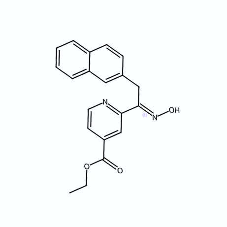 CCOC(=O)c1ccnc(/C(Cc2ccc3ccccc3c2)=N/O)c1